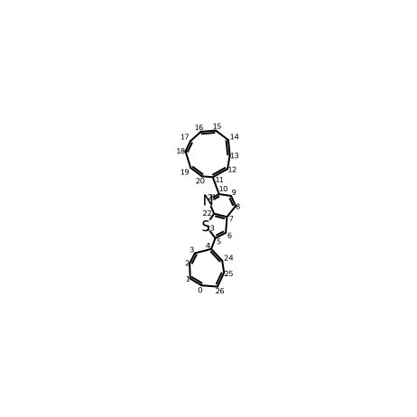 C1=C\C=C/C(c2cc3ccc(-c4ccccccccc4)nc3s2)=C\C=C/1